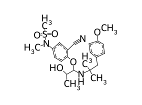 COc1ccc(CC(C)(C)NC(Oc2ccc(N(C)S(C)(=O)=O)cc2C#N)C(C)O)cc1